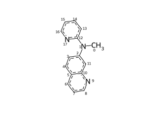 CN(c1ccc2cccnc2c1)c1ccccn1